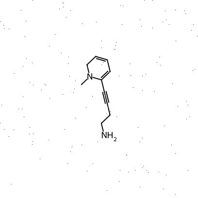 CN1CC=CC=C1C#CCCN